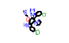 CN(C)CCOc1c2[nH]c3ccc(Cl)cc3c2c(N2CCCC2)c2c1[nH]c1ccc(Cl)cc12